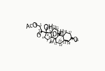 CC(=O)OCC(=O)[C@@]1(O)CC[C@@]2(O)[C@@H]3CCC4=CC(=O)CC[C@]4(C)[C@H]3CC[C@@]21C